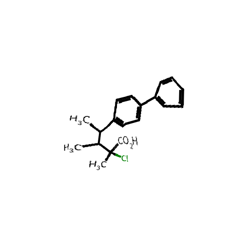 CC(c1ccc(-c2ccccc2)cc1)C(C)C(C)(Cl)C(=O)O